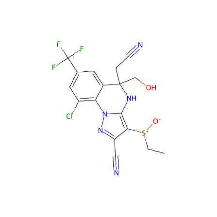 CC[S+]([O-])c1c(C#N)nn2c1NC(CO)(CC#N)c1cc(C(F)(F)F)cc(Cl)c1-2